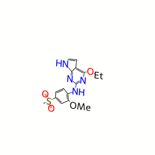 CCOc1nc(Nc2ccc(S(C)(=O)=O)cc2OC)nc2[nH]ccc12